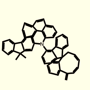 C=C1/C=C\C=C/CC2(c3ccccc31)c1ccccc1-c1c(N(c3ccc4c(c3)C(C)(C)c3ccccc3-4)c3cccc4ccc5ccccc5c34)cccc12